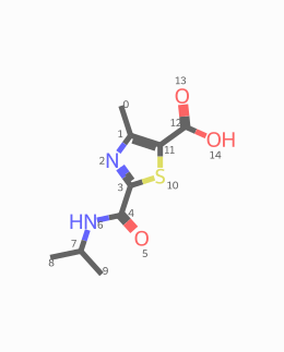 Cc1nc(C(=O)NC(C)C)sc1C(=O)O